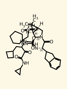 CC1(C)[C@@H]2[C@@H](C(=O)NC(CC3CCC3)C(=O)C(=O)NC3CC3)N(C(=O)[C@@H](NC(=O)NC3(CS(=O)(=O)C(C)(C)C)CCCCC3)C3Cc4ccccc4C3)C[C@@H]21